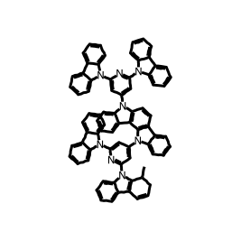 CC1CC=Cc2c1n(-c1cc(-n3c4ccccc4c4ccc5c(c6ccccc6n5-c5cc(-n6c7ccccc7c7ccccc76)nc(-n6c7ccccc7c7ccccc76)c5)c43)cc(-n3c4ccccc4c4ccccc43)n1)c1ccccc21